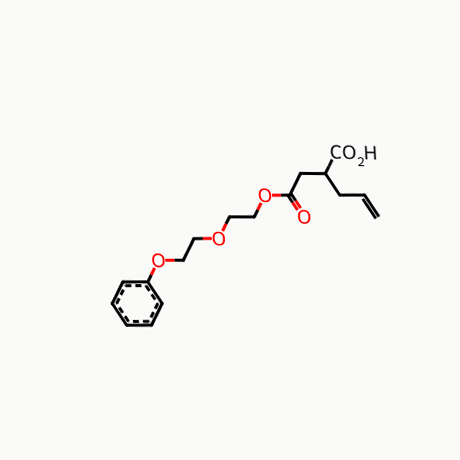 C=CCC(CC(=O)OCCOCCOc1ccccc1)C(=O)O